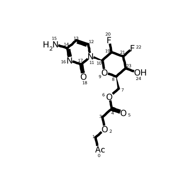 CC(=O)COCC(=O)OC[C@H]1O[C@@H](n2ccc(N)nc2=O)C(F)C(F)C1O